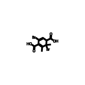 CC1=C(C(=O)O)C(Br)=CC(C(=O)O)C1(C)Br